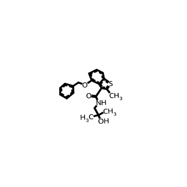 Cc1sc2cccc(OCc3ccccc3)c2c1C(=O)NCC(C)(C)O